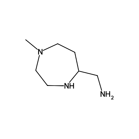 CN1CCNC(CN)CC1